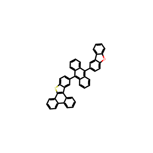 c1ccc2c(c1)oc1ccc(-c3c4ccccc4c(-c4ccc5sc6c7ccccc7c7ccccc7c6c5c4)c4ccccc34)cc12